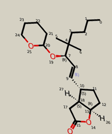 CCCCC(C)(C)[C@@H](/C=C/[C@@H]1CC[C@H]2OC(=O)C[C@@H]12)OC1CCCCO1